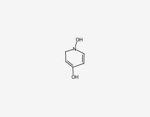 OC1=CCN(O)C=C1